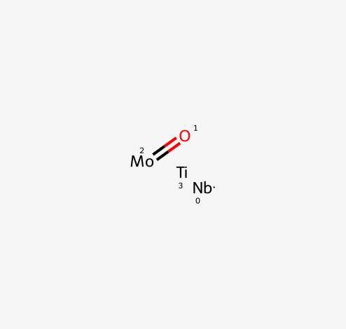 [Nb].[O]=[Mo].[Ti]